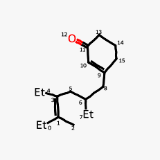 CCC(C)=C(CC)CC(CC)CC1=CC(=O)CCC1